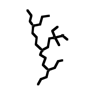 CCCN(CCC)CCCN(CCCN(CCC)CCC)CC[Si](C)(CC)OC